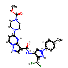 CC(C)(C)OC(=O)N1CCN(c2ccn3ncc(C(=O)Nc4cn(-c5ccc(C=O)cc5)nc4C(F)F)c3n2)CC1